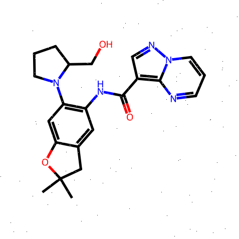 CC1(C)Cc2cc(NC(=O)c3cnn4cccnc34)c(N3CCCC3CO)cc2O1